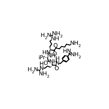 CC(C)[C@H](NN[C@@H](CCCNC(N)N)C(=O)C(=O)CCCCCN)C(=O)N[C@@H](CCCNC(N)N)C(=O)NCc1ccc(C(=N)N)cc1